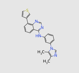 Cc1ncn(-c2cccc(Nc3ncnc4c(-c5ccsc5)cccc34)c2)c1C